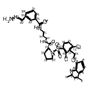 Cc1cc(C)c2cccc(OCc3c(Cl)ccc(S(=O)(=O)N4CCC[C@H]4C(=O)NCCCNC(=O)c4cccc(C=NN)c4)c3Cl)c2n1